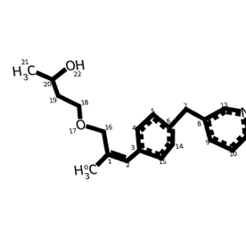 CC(=Cc1ccc(Cc2cccnc2)cc1)COCCC(C)O